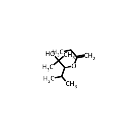 C=C(CC)O[C@@H](C(C)C)C(C)(C)O